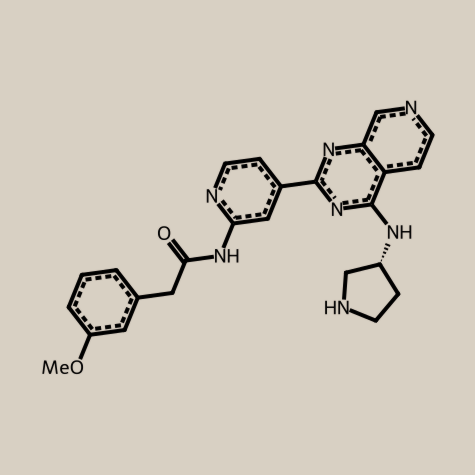 COc1cccc(CC(=O)Nc2cc(-c3nc(N[C@@H]4CCNC4)c4ccncc4n3)ccn2)c1